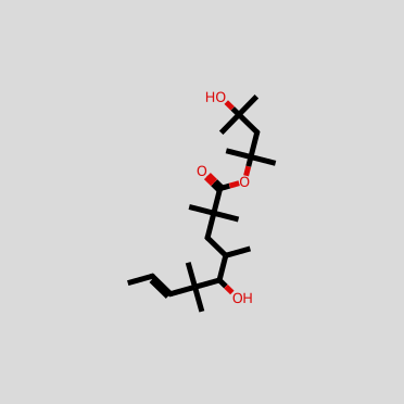 CC=CC(C)(C)C(O)C(C)CC(C)(C)C(=O)OC(C)(C)CC(C)(C)O